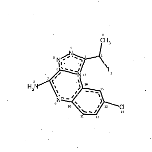 CC(I)c1nnc2c(N)nc3ccc(Cl)cc3n12